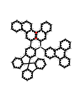 c1ccc2c(c1)-c1ccccc1C21c2ccccc2-c2cc(-c3ccc4ccc5ccccc5c4c3)c(N(c3ccc4ccccc4c3)c3ccc4c5ccccc5c5ccccc5c4c3)cc21